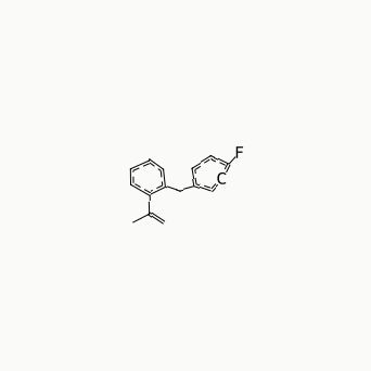 C=C(C)c1ccccc1Cc1ccc(F)cc1